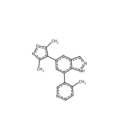 Cc1ccncc1-c1cc(-c2c(C)noc2C)cc2cn[nH]c12